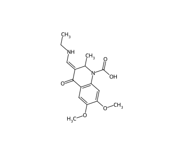 CCNC=C1C(=O)c2cc(OC)c(OC)cc2N(C(=O)O)C1C